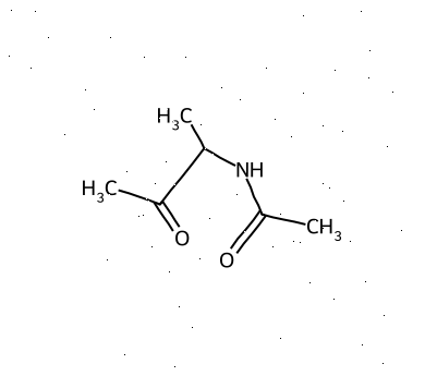 CC(=O)NC(C)C(C)=O